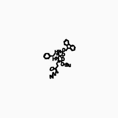 CC(C)(C)OC(=O)[C@H](CCC(=O)C=[N+]=[N-])NC(=O)[C@H](CCc1ccccc1)NC(=O)OCC1c2ccccc2-c2ccccc21